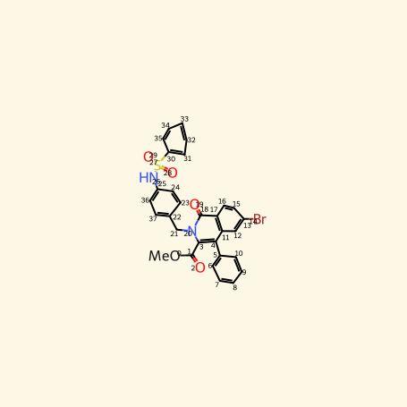 COC(=O)c1c(-c2ccccc2)c2cc(Br)ccc2c(=O)n1Cc1ccc(NS(=O)(=O)c2ccccc2)cc1